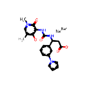 Cc1cn(C)c(=O)c(NC(=O)NC(CC(=O)[O-])c2cccc(-n3cccc3)c2)c1[O-].[Na+].[Na+]